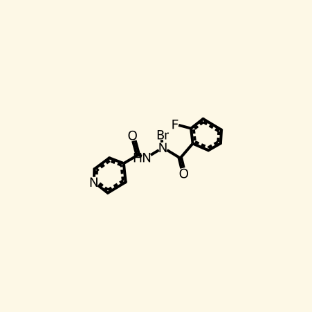 O=C(NN(Br)C(=O)c1ccccc1F)c1ccncc1